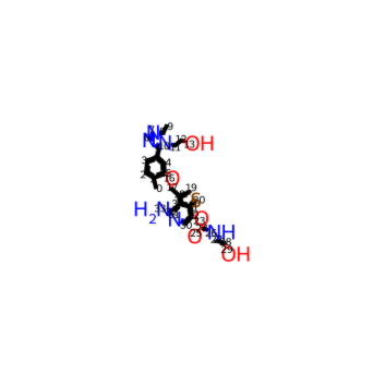 Cc1ccc(-c2nnc(C)n2CCO)cc1OCc1csc2c(OC(=O)NCCO)cnc(N)c12